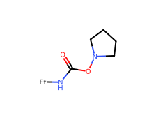 CCNC(=O)ON1CCCC1